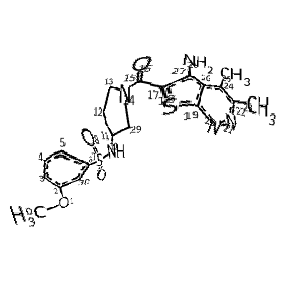 COc1cccc(S(=O)(=O)NC2CCN(C(=O)c3sc4nnc(C)c(C)c4c3N)C2)c1